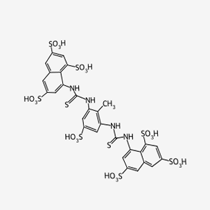 Cc1c(NC(=S)Nc2cc(S(=O)(=O)O)cc3cc(S(=O)(=O)O)cc(S(=O)(=O)O)c23)cc(S(=O)(=O)O)cc1NC(=S)Nc1cc(S(=O)(=O)O)cc2cc(S(=O)(=O)O)cc(S(=O)(=O)O)c12